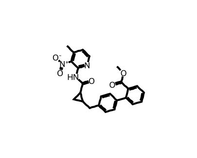 COC(=O)c1ccccc1-c1ccc(CC2CC2C(=O)Nc2nccc(C)c2[N+](=O)[O-])cc1